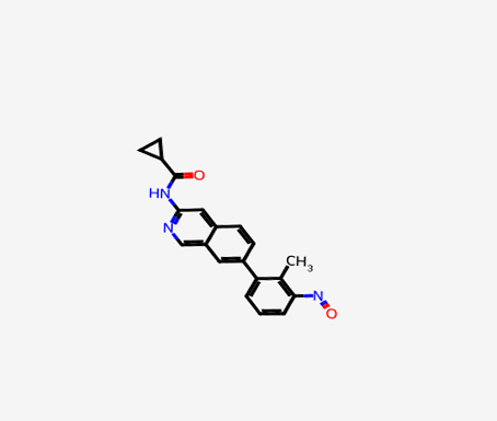 Cc1c(N=O)cccc1-c1ccc2cc(NC(=O)C3CC3)ncc2c1